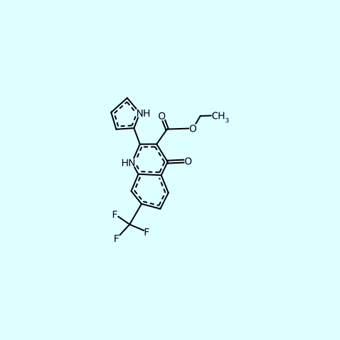 CCOC(=O)c1c(-c2ccc[nH]2)[nH]c2cc(C(F)(F)F)ccc2c1=O